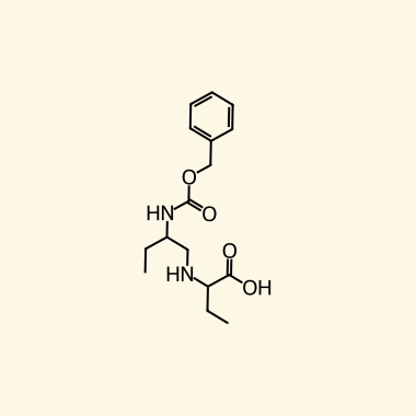 CCC(CNC(CC)C(=O)O)NC(=O)OCc1ccccc1